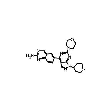 Nc1ncc2cc(-c3nc(N4CCOCC4)nc4c3cnn4C3CCOCC3)ccc2n1